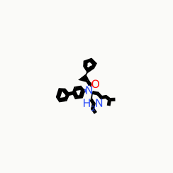 CCCC[C@H](C[C@@H](N)CC(C)C)N(C(=O)C1C[C@H]1c1ccccc1)c1ccc(-c2ccccc2)cc1